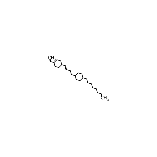 C=CC1CCC(C=CCCC2CCC(CCCCCCCC)CC2)CC1